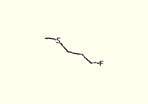 CSCCCF